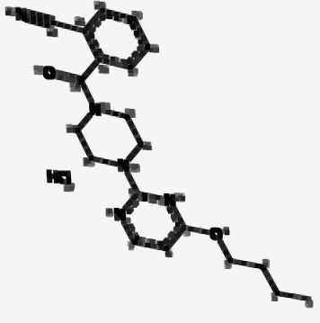 CCCCOc1ccnc(N2CCN(C(=O)c3ccccc3C#N)CC2)n1.Cl